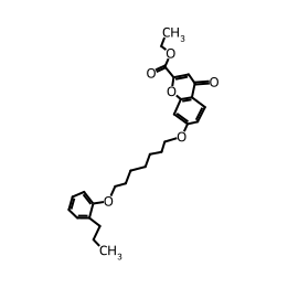 CCCc1ccccc1OCCCCCCCOc1ccc2c(=O)cc(C(=O)OCC)oc2c1